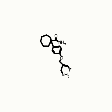 NCC(=CF)COc1ccc(C2(C(N)=O)CCCCCC2)cc1